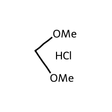 COCOC.Cl